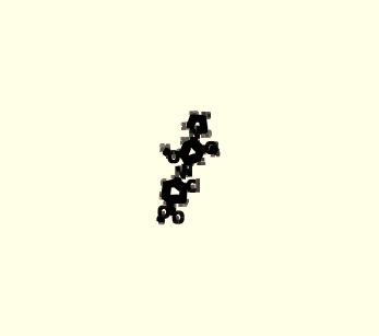 COC(=O)c1ccc(/N=N/c2cc(OC)c(N3CCCC3)cc2OC)c(Cl)c1